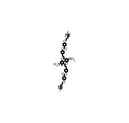 Cc1c(N)ccc(-c2ccc(N)cc2C(=O)/C=C/c2ccc(OC(=O)c3ccc(OCCCC(F)(F)C(F)(F)F)cc3)cc2)c1C(=O)/C=C/c1ccc(OC(=O)c2ccc(OCCCC(F)(F)C(F)(F)F)cc2)cc1